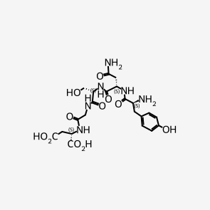 NC(=O)C[C@H](NC(=O)[C@@H](N)Cc1ccc(O)cc1)C(=O)N[C@@H](CO)C(=O)NCC(=O)N[C@@H](CC(=O)O)C(=O)O